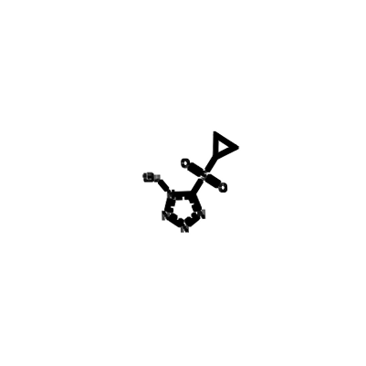 CC(C)(C)n1nnnc1S(=O)(=O)C1CC1